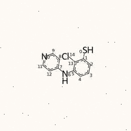 Sc1cccc(Nc2ccncc2)c1Cl